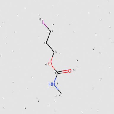 CNC(=O)OCCCI